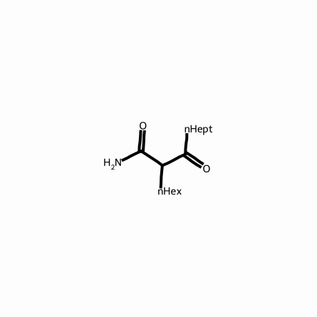 CCCCCCCC(=O)C(CCCCCC)C(N)=O